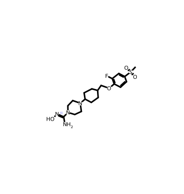 CS(=O)(=O)c1ccc(OCC2CCC(N3CCN(/C(N)=N/O)CC3)CC2)c(F)c1